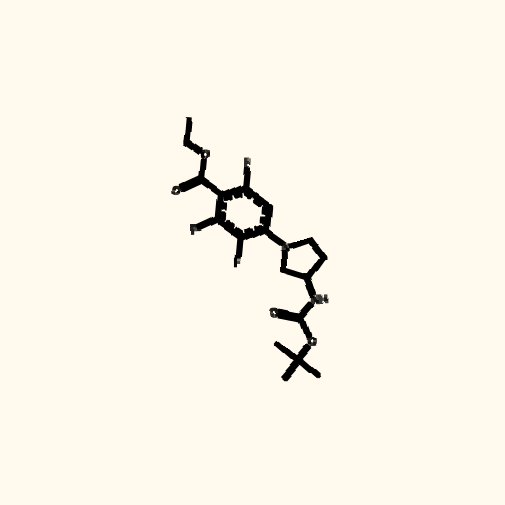 CCOC(=O)c1c(F)cc(N2CCC(NC(=O)OC(C)(C)C)C2)c(F)c1F